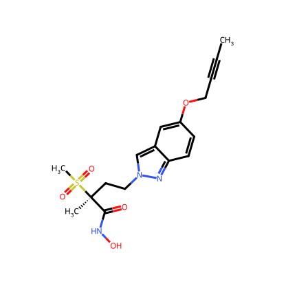 CC#CCOc1ccc2nn(CC[C@@](C)(C(=O)NO)S(C)(=O)=O)cc2c1